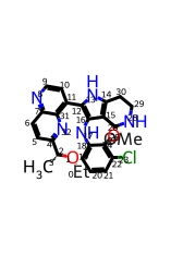 CCO[C@H](C)c1ccc2nccc(-c3[nH]c4c(c3Nc3cccc(Cl)c3OC)C(=O)NCC4)c2n1